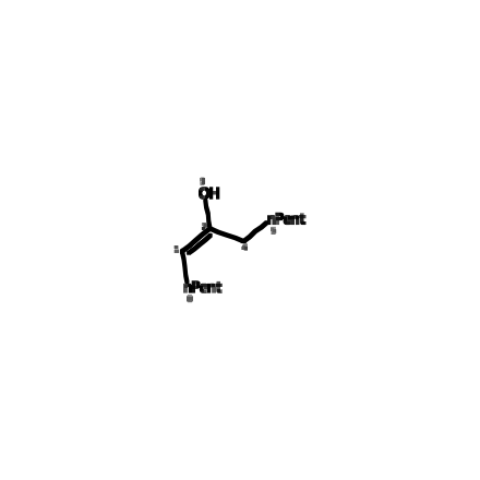 CCCCC/C=C(/O)CCCCCC